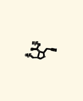 [CH2]CC1C[CH]C(CC#N)C1C(=O)OC